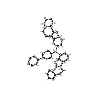 c1ccc(-c2ccc(N(c3ccc4sc5c6ccccc6ccc5c4c3)c3cccc4c3oc3c5ccccc5ccc43)cc2)cc1